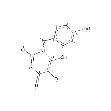 O=C1C=C(Cl)C(=Nc2ccc(O)cc2)C(Cl)=C1Cl